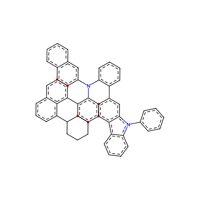 c1ccc(-n2c3ccccc3c3ccc(-c4ccccc4N(c4ccc5ccccc5c4)c4ccccc4-c4cccc5cccc(C6CCCCC6)c45)cc32)cc1